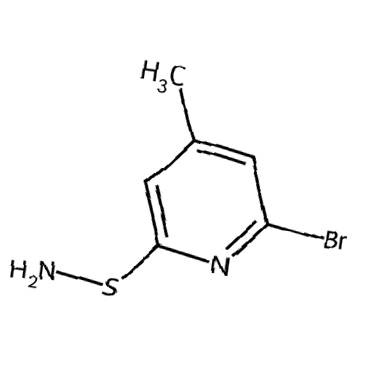 Cc1cc(Br)nc(SN)c1